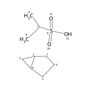 C1CC2CC2C1.CC(C)S(=O)(=O)O